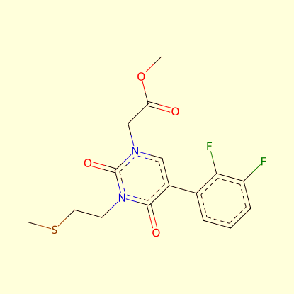 COC(=O)Cn1cc(-c2cccc(F)c2F)c(=O)n(CCSC)c1=O